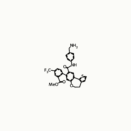 COC(=O)c1cc(C(F)(F)F)ccc1-c1cc2c(cc1C(=O)Nc1ccc(CN)cc1)-c1sccc1CCO2